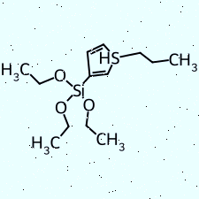 CCC[SH]1C=CC([Si](OCC)(OCC)OCC)=C1